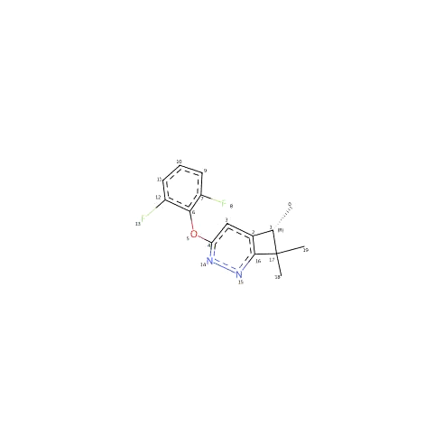 C[C@H]1c2cc(Oc3c(F)cccc3F)nnc2C1(C)C